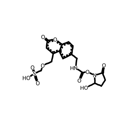 O=C(NCc1ccc2oc(=O)cc(COCS(=O)(=O)O)c2c1)ON1C(=O)CCC1O